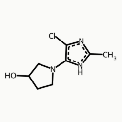 Cc1nc(Cl)c(N2CCC(O)C2)[nH]1